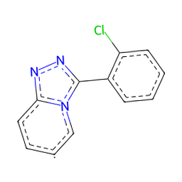 Clc1ccccc1-c1nnc2cc[c]cn12